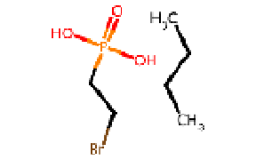 CCCC.O=P(O)(O)CCBr